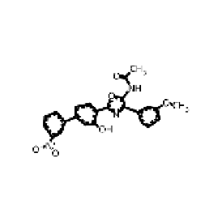 COc1cccc(-c2nc(-c3ccc(-c4cccc([N+](=O)[O-])c4)cc3O)oc2NC(C)=O)c1